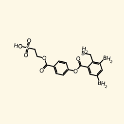 BCc1c(B)cc(B)cc1C(=O)Oc1ccc(C(=O)OCCS(=O)(=O)O)cc1